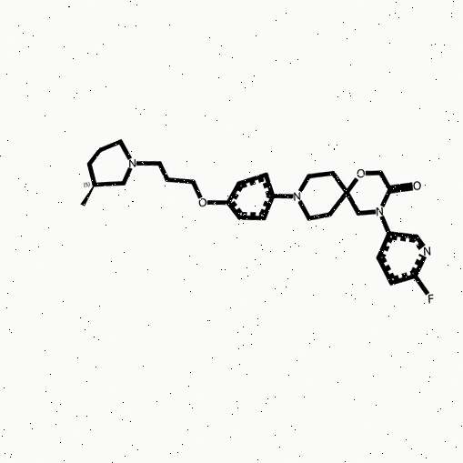 C[C@H]1CCCN(CCCOc2ccc(N3CCC4(CC3)CN(c3ccc(F)nc3)C(=O)CO4)cc2)C1